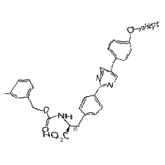 CCCCCCCOc1ccc(-c2cnc(-c3ccc(C[C@H](NC(=O)OCc4cccc(C)c4)C(=O)O)cc3)nc2)cc1